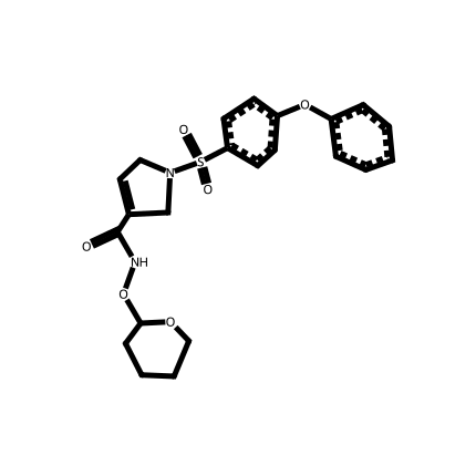 O=C(NOC1CCCCO1)C1=CCN(S(=O)(=O)c2ccc(Oc3ccccc3)cc2)C1